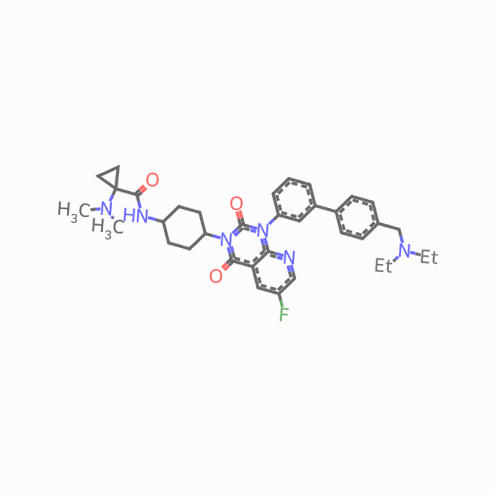 CCN(CC)Cc1ccc(-c2cccc(-n3c(=O)n(C4CCC(NC(=O)C5(N(C)C)CC5)CC4)c(=O)c4cc(F)cnc43)c2)cc1